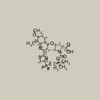 COc1ccc2c(OC3CC(C(=O)O)N(C(=O)OC(C)(C)C)C3)cc(-c3nc(C(F)(F)F)cs3)nc2c1C